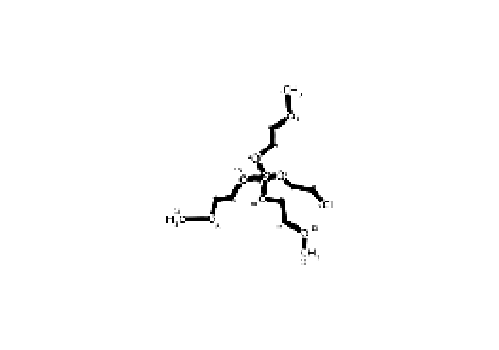 COCCO[Si](OCCCl)(OCCOC)OCCOC